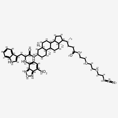 C[C@H](CCC(=O)OCCOCCOCCN=[N+]=[N-])C1CCC2C3CC[C@@H]4C[C@H](NC(=O)C(Cc5c[nH]c6ccccc56)Nc5ccc([N+](=O)[O-])c6nonc56)CC[C@]4(C)C3CC[C@@]21C